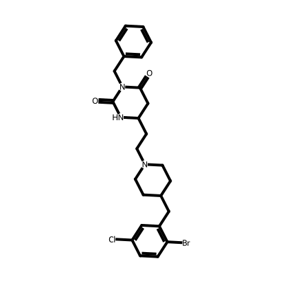 O=C1CC(CCN2CCC(Cc3cc(Cl)ccc3Br)CC2)NC(=O)N1Cc1ccccc1